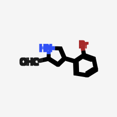 O=CC1CC(c2ccccc2Br)CN1